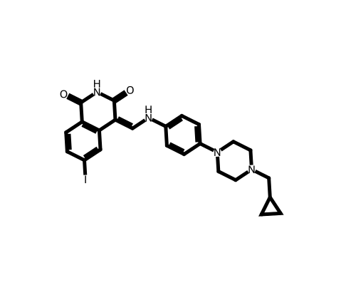 O=C1NC(=O)c2ccc(I)cc2C1=CNc1ccc(N2CCN(CC3CC3)CC2)cc1